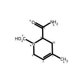 CC1=CCN(C(=O)O)C(C(N)=O)C1